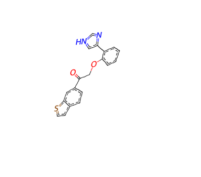 O=C(COc1ccccc1-c1c[nH]cn1)c1ccc2ccsc2c1